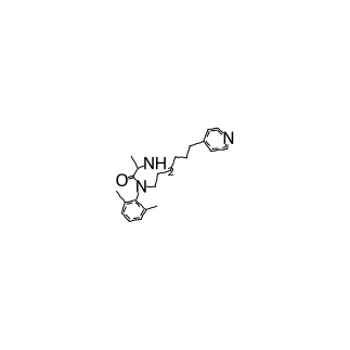 Cc1cccc(C)c1N(CCCCCCc1ccncc1)C(=O)C(C)N